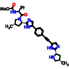 COC(=O)N[C@H](C(=O)N1C[C@@H](C)C[C@H]1c1ncc(-c2ccc(C#Cc3cnc([C@@H]4C[C@H](C)CN4)[nH]3)cc2)[nH]1)C(C)C